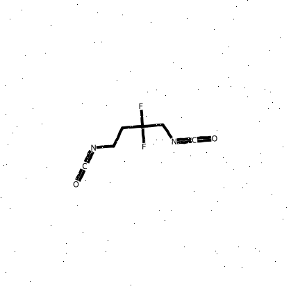 O=C=NCCC(F)(F)CN=C=O